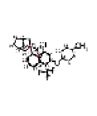 CC1CCC(Oc2ccc3c(CN4C5CCC4CC(C(=O)O)C5)cccc3c2C(F)(F)F)CC1